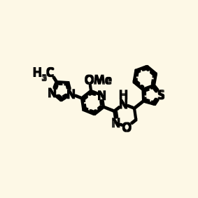 COc1nc(C2=NOCC(c3csc4ccccc34)N2)ccc1-n1cnc(C)c1